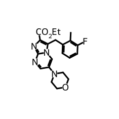 CCOC(=O)c1nc2ncc(N3CCOCC3)cn2c1Cc1cccc(F)c1C